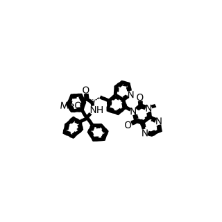 COC(=O)[C@H](Cc1ccc(-n2c(=O)c3nccnc3n(C)c2=O)c2ncccc12)NC(c1ccccc1)(c1ccccc1)c1ccccc1